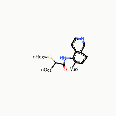 CCCCCCCCC(SCCCCCC)C(=O)Nc1c(SC)ccc2cnccc12